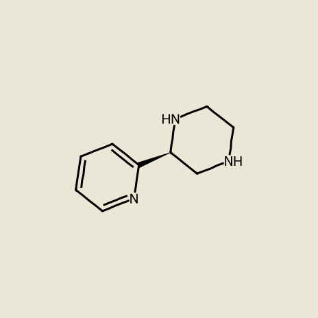 c1ccc([C@@H]2CNCCN2)nc1